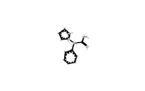 NC(=O)N(c1ccccc1)n1cccn1